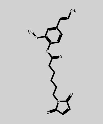 CC=Cc1ccc(OC(=O)CCCCCN2C(=O)C=CC2=O)c(OC)c1